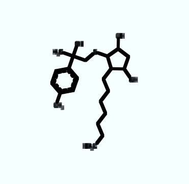 Cc1ccc(C(C)(O)CSC2C(O)CC(O)C2CCCCCCC(=O)O)cc1